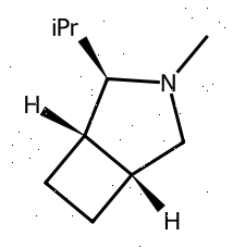 CC(C)[C@@H]1[C@H]2CC[C@H]2CN1C